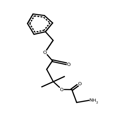 CC(C)(CC(=O)OCc1ccccc1)OC(=O)CN